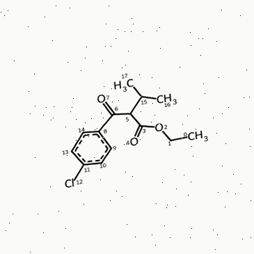 CCOC(=O)C(C(=O)c1ccc(Cl)cc1)C(C)C